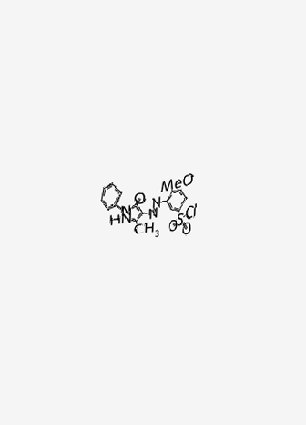 COc1ccc(S(=O)(=O)Cl)cc1N=Nc1c(C)[nH]n(-c2ccccc2)c1=O